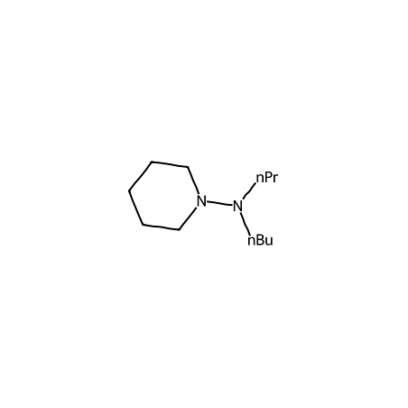 CCCCN(CCC)N1CCCCC1